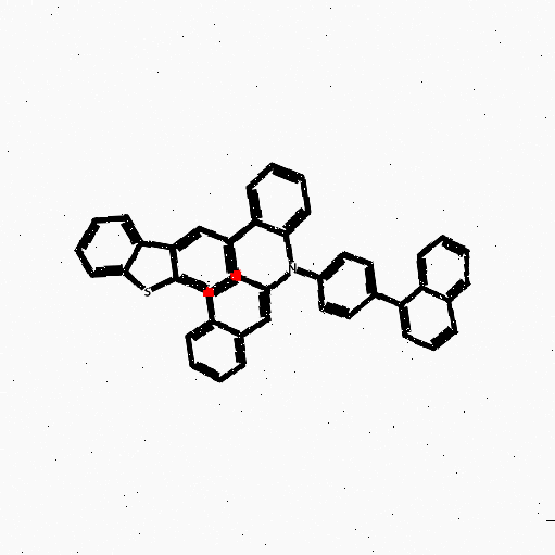 c1ccc(N(c2ccc(-c3cccc4ccccc34)cc2)c2ccc3ccccc3c2)c(-c2ccc3sc4ccccc4c3c2)c1